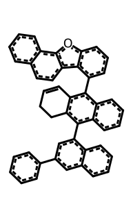 C1=Cc2c(c(-c3cc(-c4ccccc4)cc4ccccc34)c3ccccc3c2-c2cccc3oc4c5ccccc5ccc4c23)CC1